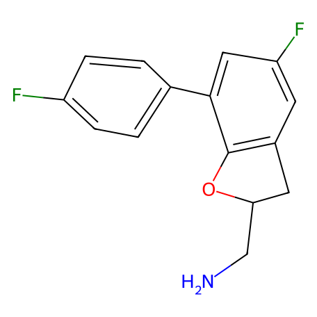 NCC1Cc2cc(F)cc(-c3ccc(F)cc3)c2O1